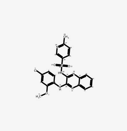 COc1cc(Cl)ccc1Nc1nc2ccccc2nc1NS(=O)(=O)c1ccc(C)nc1